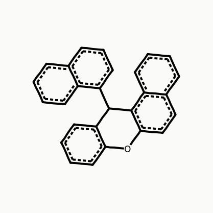 c1ccc2c(c1)Oc1ccc3ccccc3c1C2c1cccc2ccccc12